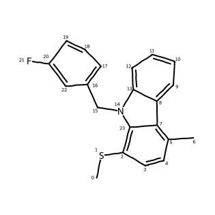 CSc1[c]cc(C)c2c3ccccc3n(Cc3cccc(F)c3)c12